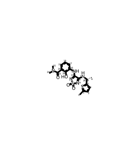 Cc1ccc([C@@H](C)NC2=NS(=O)(=O)N=C2Nc2cccc(C(=O)N(C)C)c2O)s1